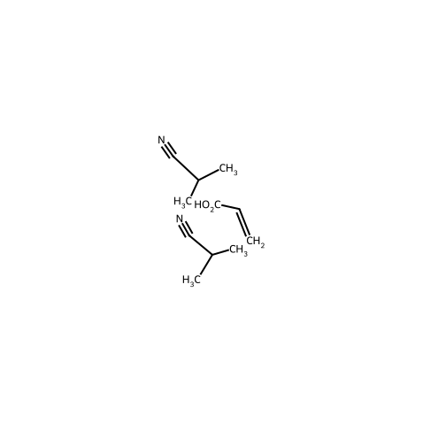 C=CC(=O)O.CC(C)C#N.CC(C)C#N